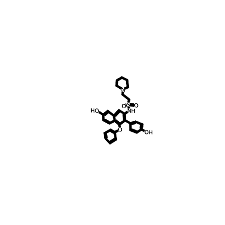 O=S(=O)(CCN1CCCCC1)Nc1cc2cc(O)ccc2c(Oc2ccccc2)c1-c1ccc(O)cc1